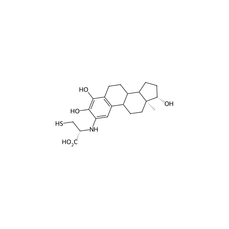 C[C@]12CCC3c4cc(N[C@@H](CS)C(=O)O)c(O)c(O)c4CCC3C1CC[C@@H]2O